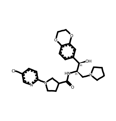 O=C(N[C@H](CN1CCCC1)[C@H](O)c1ccc2c(c1)OCCO2)C1CCN(c2ccc(Cl)cn2)C1